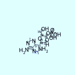 N/C=N\c1c(N)ncnc1C[C@@H](CO)O[C@@H](CO)COP(=O)(O)O